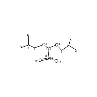 CC(C)CON(OCC(C)C)[PH](=O)Cl